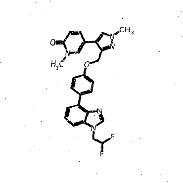 Cn1cc(-c2ccc(=O)n(C)c2)c(COc2ccc(-c3cccc4c3ncn4CC(F)F)cc2)n1